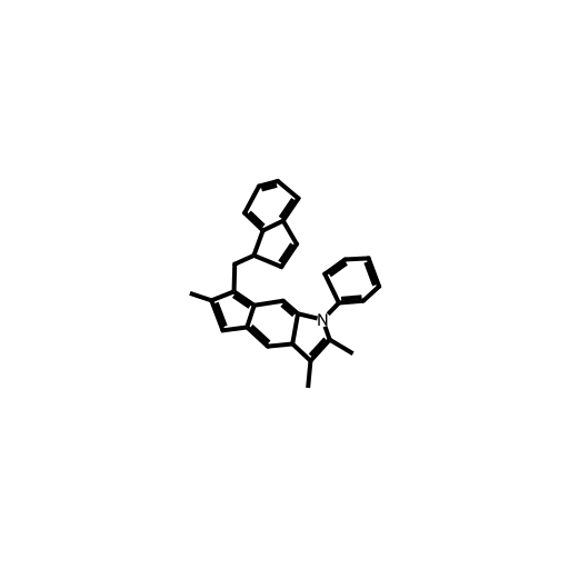 CC1=CC2=CC3C(=CC2=C1CC1C=Cc2ccccc21)N(c1ccccc1)C(C)=C3C